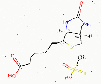 CS(=O)(O)=S.O=C(O)CCCC[C@@H]1SC[C@@H]2NC(=O)N[C@@H]21